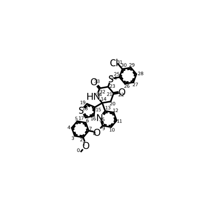 COc1ccccc1Oc1cccc(C2(c3ccsc3)CC(=O)C(Sc3ccccc3Cl)C(=O)N2)n1